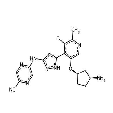 Cc1ncc(O[C@@H]2CC[C@H](N)C2)c(-c2cc(Nc3cnc(C#N)cn3)n[nH]2)c1F